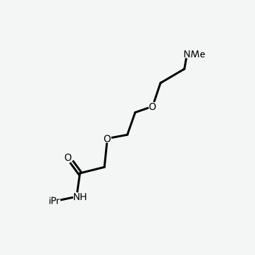 CNCCOCCOCC(=O)NC(C)C